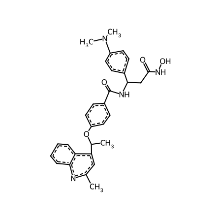 Cc1cc(C(C)Oc2ccc(C(=O)NC(CC(=O)NO)c3ccc(N(C)C)cc3)cc2)c2ccccc2n1